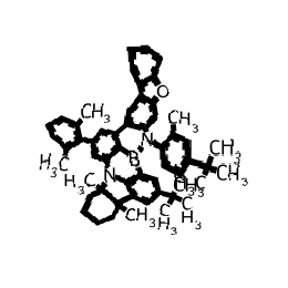 Cc1cc(C(C)(C)C)ccc1N1B2c3cc(C(C)(C)C)cc4c3N(c3cc(-c5c(C)cccc5C)cc(c32)-c2cc3c(cc21)oc1ccccc13)C1(C)CCCCC41C